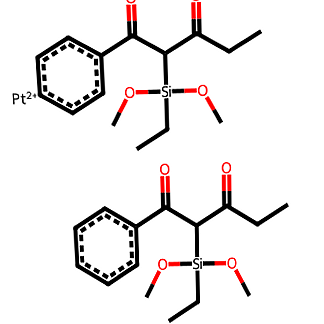 CCC(=O)C(C(=O)c1ccccc1)[Si](CC)(OC)OC.CCC(=O)C(C(=O)c1ccccc1)[Si](CC)(OC)OC.[Pt+2]